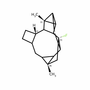 C[C@@]12C[C@]3(F)C4CC5C6C3C([C@H]3CCC3CC1C42)[C@]56C